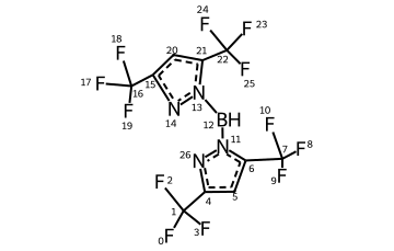 FC(F)(F)c1cc(C(F)(F)F)n(Bn2nc(C(F)(F)F)cc2C(F)(F)F)n1